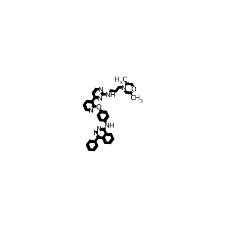 C[C@H]1CN(CCCNc2nccc(-c3cccnc3Oc3ccc(Nc4nnc(-c5ccccc5)c5ccccc45)cc3)n2)[C@@H](C)CO1